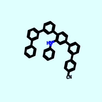 N#Cc1ccc(-c2cccc(-c3ccc(-c4cccc(-c5cccc(-c6ccccc6)c5)c4)c(Nc4ccccc4)c3)c2)cc1